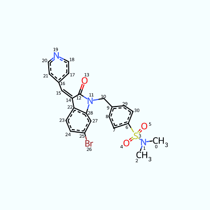 CN(C)S(=O)(=O)c1ccc(CN2C(=O)C(=Cc3ccncc3)c3ccc(Br)cc32)cc1